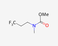 COC(=O)N(C)CCC(F)(F)F